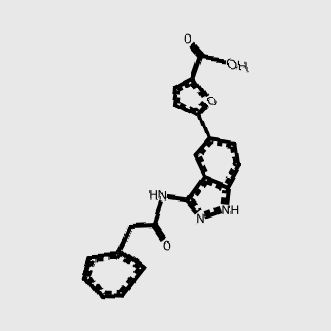 O=C(Cc1ccccc1)Nc1n[nH]c2ccc(-c3ccc(C(=O)O)o3)cc12